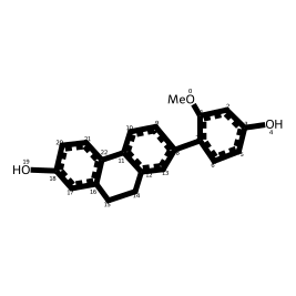 COc1cc(O)ccc1-c1ccc2c(c1)CCc1cc(O)ccc1-2